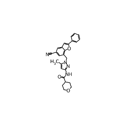 Cc1cc(NC(=O)C2CCOCC2)nn1Cc1cc(C#N)cc2cc(-c3ccccc3)oc12